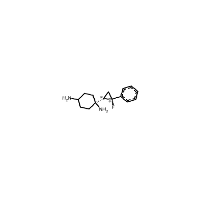 NC1CCC(N)([C@@H]2C[C@]2(F)c2ccccc2)CC1